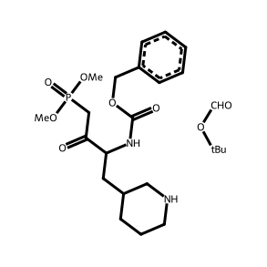 CC(C)(C)OC=O.COP(=O)(CC(=O)C(CC1CCCNC1)NC(=O)OCc1ccccc1)OC